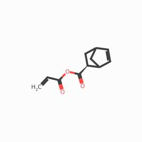 C=CC(=O)OC(=O)[C@H]1CC2C=CC1C2